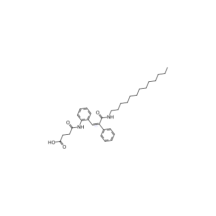 CCCCCCCCCCCCCNC(=O)/C(=C\c1ccccc1NC(=O)CCC(=O)O)c1ccccc1